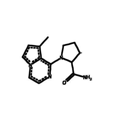 Cc1ccn2ccnc(N3CC[CH]C3C(N)=O)c12